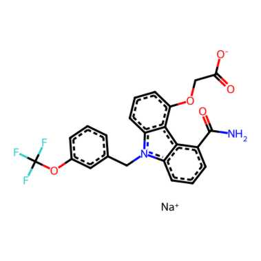 NC(=O)c1cccc2c1c1c(OCC(=O)[O-])cccc1n2Cc1cccc(OC(F)(F)F)c1.[Na+]